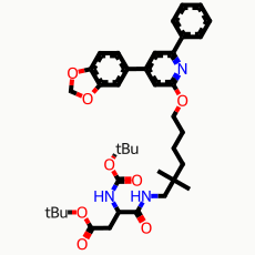 CC(C)(CCCCOc1cc(-c2ccc3c(c2)OCO3)cc(-c2ccccc2)n1)CNC(=O)C(CC(=O)OC(C)(C)C)NC(=O)OC(C)(C)C